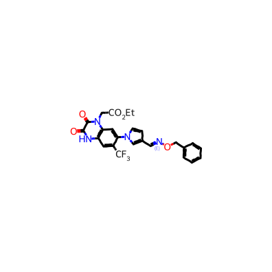 CCOC(=O)Cn1c(=O)c(=O)[nH]c2cc(C(F)(F)F)c(-n3ccc(/C=N/OCc4ccccc4)c3)cc21